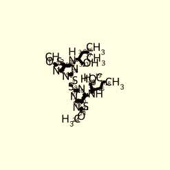 COc1nc2nc(SSc3nc(NC(CO)CC(C)C)c4sc(OC)nc4n3)nc(NC(CO)CC(C)C)c2s1